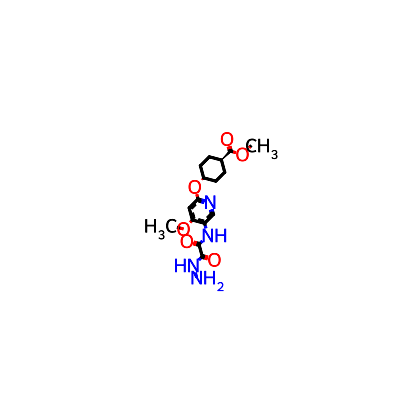 COc1cc(O[C@H]2CC[C@H](C(=O)OC)CC2)ncc1NC(=O)C(=O)NN